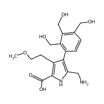 COCCc1c(C(=O)O)[nH]c(CN)c1-c1ccc(CO)c(CO)c1CO